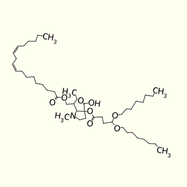 CCCCC/C=C\C/C=C\CCCCCCCC(=O)OCC(CC)C1N(C)CCC1(OC(=O)CCC(OCCCCCCCC)OCCCCCCCC)C(=O)O